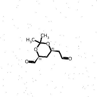 CC1(C)O[C@@H](CC=O)C[C@@H](C=O)O1